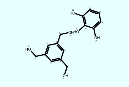 OCc1cc(CO)cc(CO)c1.Oc1cccc(O)c1O